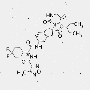 CCC(CC)OC(=O)C1(N2CC3(CC3)CNC2=O)Cc2ccc(NC(=O)[C@@H](NC(=O)c3nonc3C)C3CCC(F)(F)CC3)cc2C1